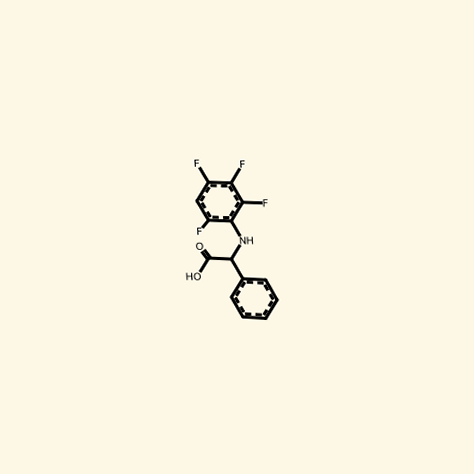 O=C(O)C(Nc1c(F)cc(F)c(F)c1F)c1ccccc1